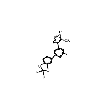 Cc1cc(-c2ccc3c(c2)OC(F)(F)O3)cc(-c2nn[nH]c2C#N)c1